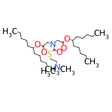 CCCCCC(CCCCC)OC(=O)CN(CC(=O)OC(CCCCC)CCCCC)C(=O)SCCN(C)C